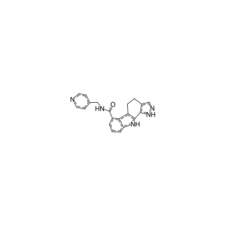 O=C(NCc1ccncc1)c1cccc2[nH]c3c(c12)CCc1cn[nH]c1-3